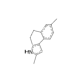 Cc1ccc2c(c1)CCc1[nH]c(C)cc1-2